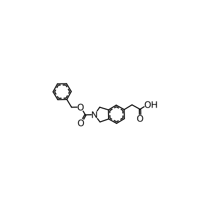 O=C(O)Cc1ccc2c(c1)CN(C(=O)OCc1ccccc1)C2